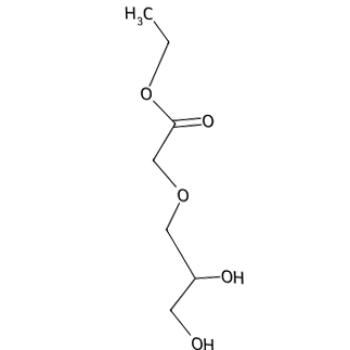 CCOC(=O)COCC(O)CO